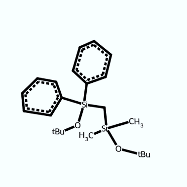 CC(C)(C)O[Si](C)(C)C[Si](OC(C)(C)C)(c1ccccc1)c1ccccc1